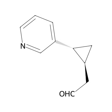 O=CC[C@@H]1C[C@H]1c1cccnc1